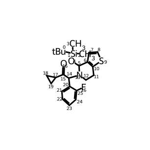 CC(C)(C)[Si](C)(C)OC1c2ccsc2CCN1C(C(=O)C1CC1)c1ccccc1F